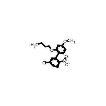 CCCCOc1cc(OC)ccc1-c1cc(Cl)ccc1[N+](=O)[O-]